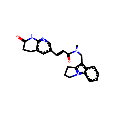 CN(Cc1c2n(c3ccccc13)CCC2)C(=O)C=Cc1cnc2c(c1)CCC(=O)N2